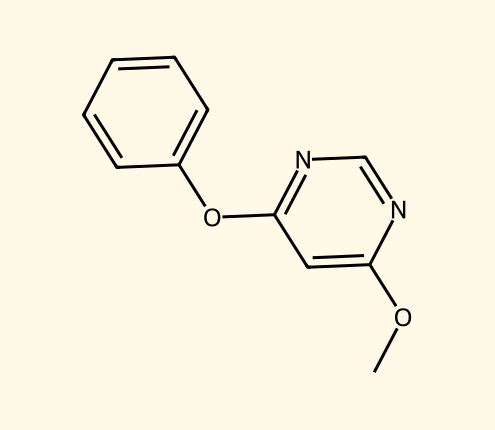 COc1cc(Oc2ccccc2)ncn1